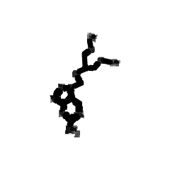 CC(C)OCC(COC(C)C)OCn1nnc2nc(N)ncc21